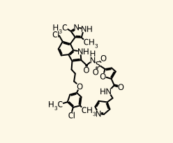 Cc1cc(OCCCc2c(C(=O)NS(=O)(=O)c3ccc(C(=O)NCc4ccncc4)o3)[nH]c3c(-c4c(C)n[nH]c4C)c(Cl)ccc23)cc(C)c1Cl